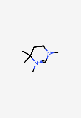 CN1C=[N+](C)C(C)(C)CC1